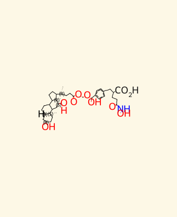 C[C@H](CCC(=O)OCOC(O)c1ccc(CC(CCC(=O)NO)C(=O)O)cc1)C1CCC2C3CC[C@@H]4C[C@H](O)CC[C@]4(C)C3C[C@H](O)[C@@]21C